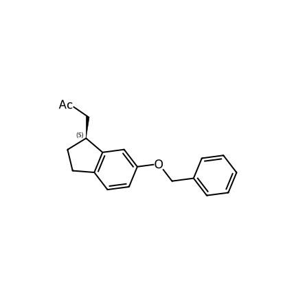 CC(=O)C[C@@H]1CCc2ccc(OCc3ccccc3)cc21